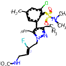 [CH2]c1cc(Cl)c(S(=O)(=O)N(C)C)c(-c2c(C)nn(C/C(F)=C/CNC(=O)O)c2CCC)c1